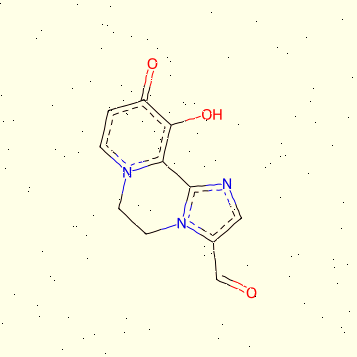 O=Cc1cnc2n1CCn1ccc(=O)c(O)c1-2